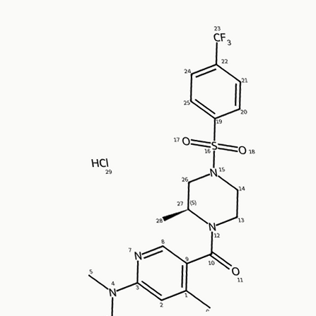 Cc1cc(N(C)C)ncc1C(=O)N1CCN(S(=O)(=O)c2ccc(C(F)(F)F)cc2)C[C@@H]1C.Cl